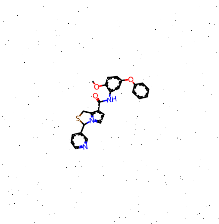 COc1ccc(Oc2ccccc2)cc1NC(=O)c1ccn2c1CSC2c1cccnc1